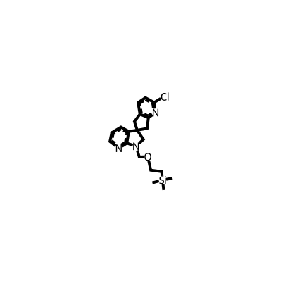 C[Si](C)(C)CCOCN1CC2(Cc3ccc(Cl)nc3C2)c2cccnc21